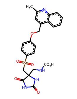 Cc1cc(COc2ccc(S(=O)(=O)CC3(CNC(=O)O)NC(=O)NC3=O)cc2)c2ccccc2n1